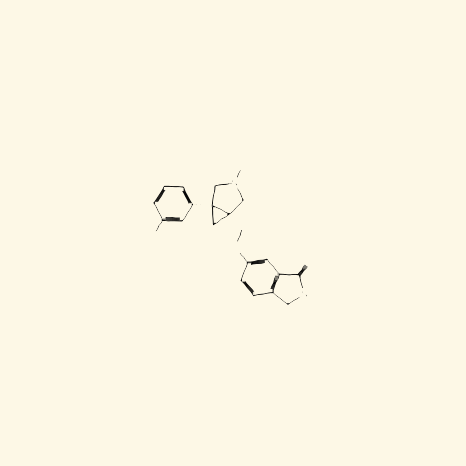 CCCN1C[C@@]2(COc3ccc4c(c3)C(=O)NC4)C[C@@]2(c2cccc(F)c2)C1